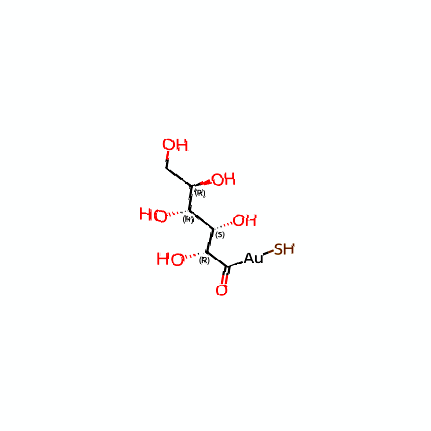 O=[C]([Au][SH])[C@H](O)[C@@H](O)[C@H](O)[C@H](O)CO